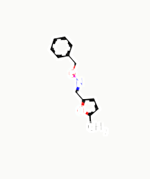 Cc1ccc(C=NOCc2ccccc2)o1